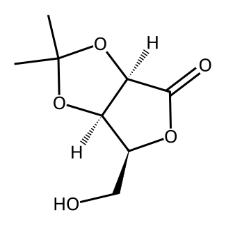 CC1(C)O[C@@H]2[C@H](CO)OC(=O)[C@@H]2O1